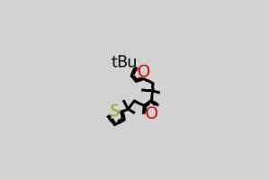 CC(C)(C)c1ccc(CC(C)(C)c2cocc2CC(C)(C)c2cccs2)o1